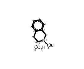 CC(C)(C)N1Cc2ccccc2C[C@H]1C(=O)O